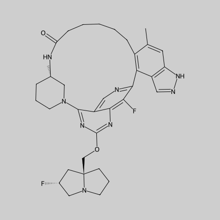 Cc1cc2[nH]ncc2c2c1CCCCCC(=O)N[C@]1(C)CCCN(C1)c1nc(OC[C@@]34CCCN3C[C@H](F)C4)nc3c(F)c-2ncc13